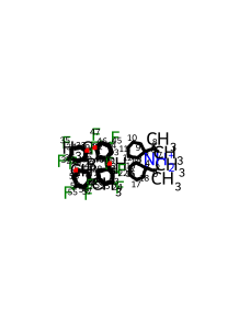 CC(C)C1([NH2+]C2(C(C)C)CCCCC2)CCCCC1.Cc1c(F)c(F)cc(F)c1[B-](c1c(F)cc(F)c(F)c1C)(c1c(F)cc(F)c(F)c1C)c1c(F)cc(F)c(F)c1C